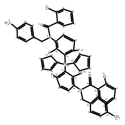 Cc1ccc(CN(C(=O)c2ccccc2Cl)c2ccc(F)[c]([Ti]([C]3=CC=CC3)([C]3=CC=CC3)[c]3c(F)ccc(N(Cc4ccc(C)cc4)C(=O)c4ccccc4Cl)c3F)c2F)cc1